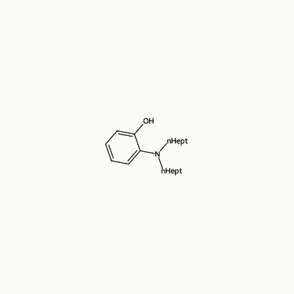 CCCCCCCN(CCCCCCC)c1ccccc1O